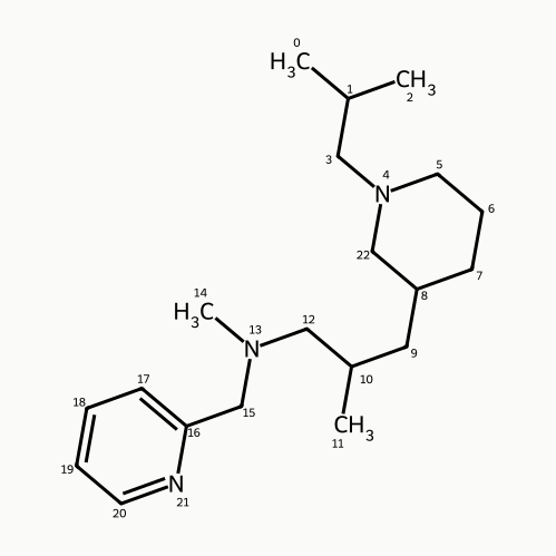 CC(C)CN1CCCC(CC(C)CN(C)Cc2ccccn2)C1